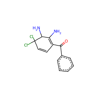 NC1=C(C(=O)c2ccccc2)C=CC(Cl)(Cl)C1N